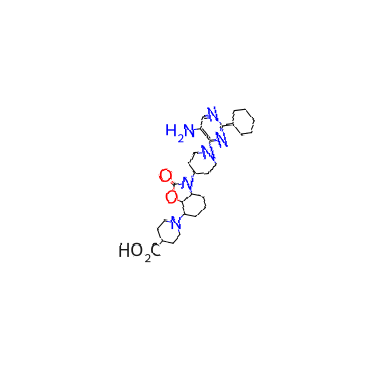 Nc1cnc(C2CCCCC2)nc1N1CCC(N2C(=O)OC3C(N4CCC(C(=O)O)CC4)CCCC32)CC1